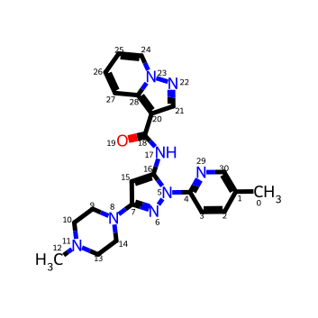 Cc1ccc(-n2nc(N3CCN(C)CC3)cc2NC(=O)c2cnn3ccccc23)nc1